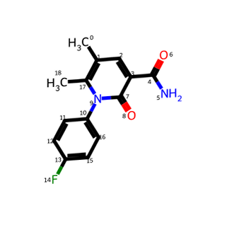 Cc1cc(C(N)=O)c(=O)n(-c2ccc(F)cc2)c1C